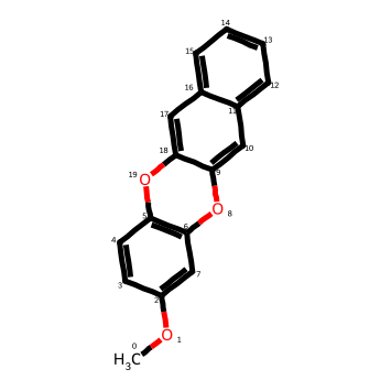 COc1ccc2c(c1)Oc1cc3ccccc3cc1O2